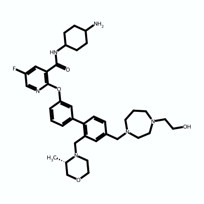 C[C@H]1COCCN1Cc1cc(CN2CCCN(CCO)CC2)ccc1-c1cccc(Oc2ncc(F)cc2C(=O)NC2CCC(N)CC2)c1